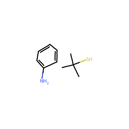 CC(C)(C)S.Nc1ccccc1